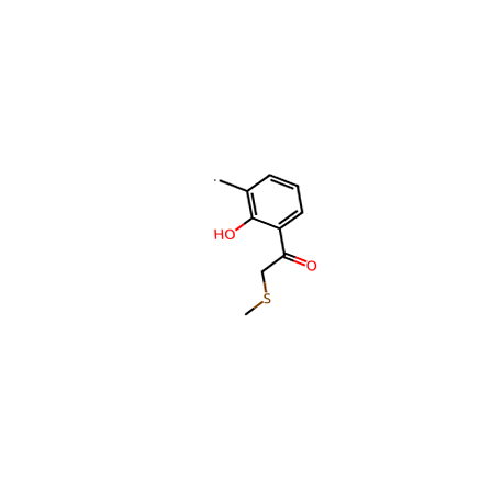 [CH2]c1cccc(C(=O)CSC)c1O